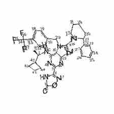 C[C@@H](Nc1nc(-c2noc(=O)[nH]2)nc2nc(N3CCCCC3c3ccccc3)n(Cc3ccc(C(F)(F)F)cc3)c12)C1CCC1